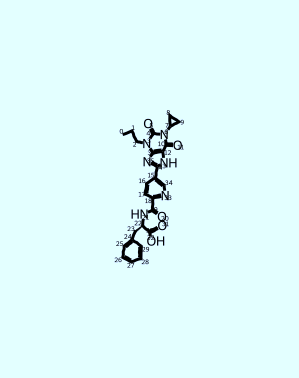 CCCn1c(=O)n(C2CC2)c(=O)c2[nH]c(-c3ccc(C(=O)N[C@H](Cc4ccccc4)C(=O)O)nc3)nc21